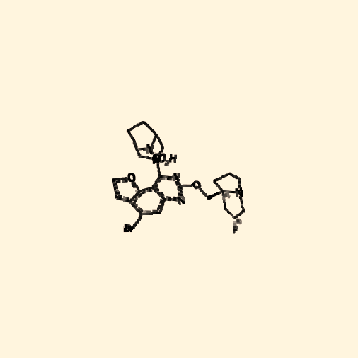 O=C(O)N1C2CCC1CN(c1nc(OC[C@@]34CCCN3C[C@H](F)C4)nc3cc(Br)c4ccoc4c13)C2